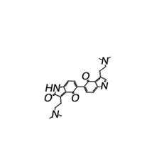 CN(C)CCC1=C2C(=O)C(C3=CC=C4NC(=O)C(CCN(C)C)=C4C3=O)=CC=C2N=C1